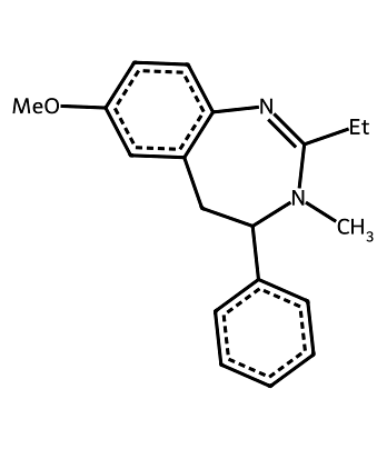 CCC1=Nc2ccc(OC)cc2CC(c2ccccc2)N1C